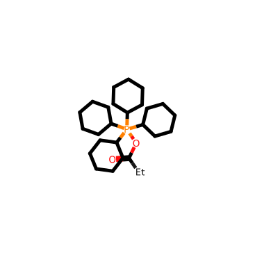 CCC(=O)OP(C1CCCCC1)(C1CCCCC1)(C1CCCCC1)C1CCCCC1